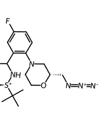 CC(N[S@+]([O-])C(C)(C)C)c1cc(F)ccc1N1CCO[C@@H](CN=[N+]=[N-])C1